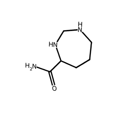 NC(=O)C1CCCNCN1